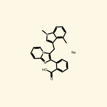 Cc1cccc2c1c(Cc1c(-c3ccccc3C(=O)O)nc3ccccn13)cn2C.[Na]